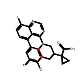 O=C(O)C1(C2CCCN(c3ncnc4c(F)ccc(-c5ccc(Cl)c(Cl)c5)c34)C2)CC1